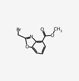 COC(=O)c1cccc2oc(CBr)nc12